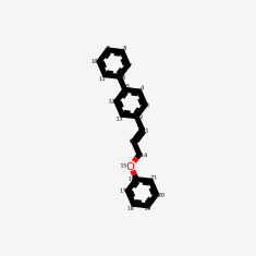 C(=C\c1ccc(-c2ccccc2)cc1)/COc1ccccc1